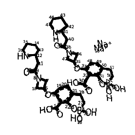 O=C(O)c1c(OC2CN(C(=O)CC3CCCCN3)C2)ccc2c1O[B-](O)(O)CC2.O=C(O)c1c(OC2CN(C(=O)CC3CCCCN3)C2)ccc2c1O[B-](O)(O)CC2.[Na+].[Na+]